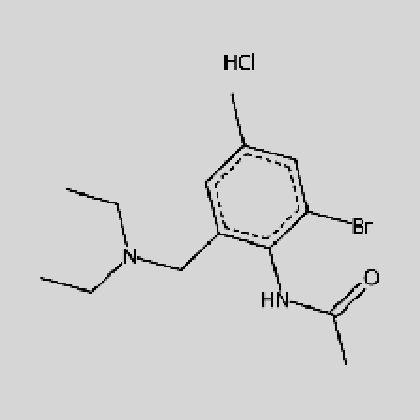 CCN(CC)Cc1cc(C)cc(Br)c1NC(C)=O.Cl